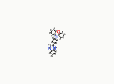 c1ccc2c(c1)Oc1ccccc1N2c1ccc(-c2cnc3ccccc3n2)cc1